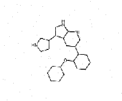 C1CCC(OC2CCCCC2C2CNC3NCC(C4CCNC4)C3C2)CC1